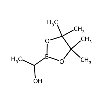 CC(O)B1OC(C)(C)C(C)(C)O1